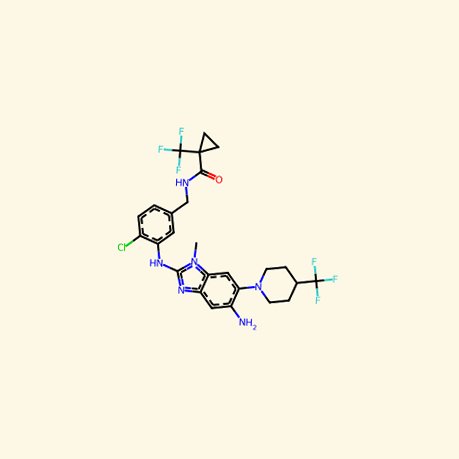 Cn1c(Nc2cc(CNC(=O)C3(C(F)(F)F)CC3)ccc2Cl)nc2cc(N)c(N3CCC(C(F)(F)F)CC3)cc21